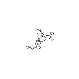 CCCC[C@@H]1N[C@H](CNC(=O)/C=C/c2ccc(Cl)cc2)CCN(CC(c2ccccc2)c2ccccc2)C1=O